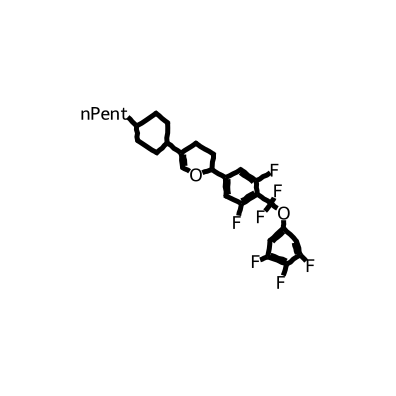 CCCCCC1CCC(C2=COC(c3cc(F)c(C(F)(F)Oc4cc(F)c(F)c(F)c4)c(F)c3)CC2)CC1